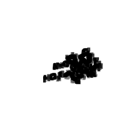 COc1cccc([C@H]2O[C@H](Cc3ncc(CCC(=O)O)o3)c3nnc(C(F)F)n3-c3ccc(Cl)cc32)c1OC